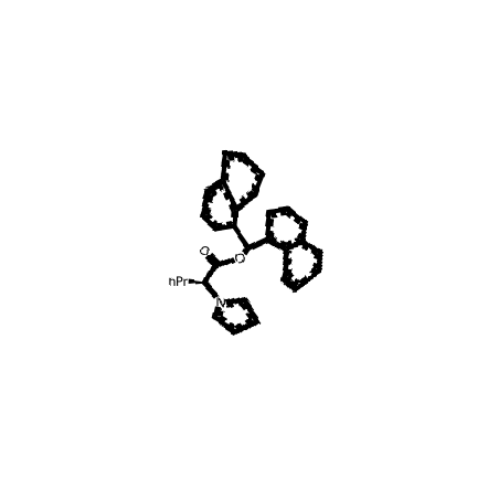 CCC[C@@H](C(=O)OC(c1cccc2ccccc12)c1cccc2ccccc12)n1cccc1